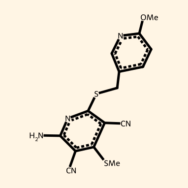 COc1ccc(CSc2nc(N)c(C#N)c(SC)c2C#N)cn1